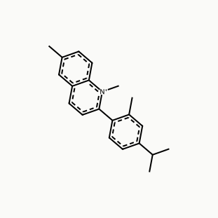 Cc1ccc2c(ccc(-c3ccc(C(C)C)cc3C)[n+]2C)c1